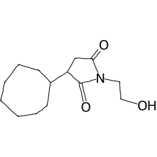 O=C1CC(C2CCCCCCC2)C(=O)N1CCO